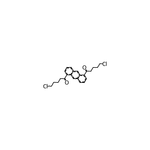 O=C(CCCCCl)c1cccc2cc3c(C(=O)CCCCCl)cccc3cc12